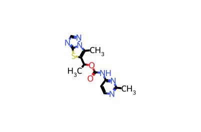 Cc1nccc(NC(=O)OC(C)c2sc3ncnn3c2C)n1